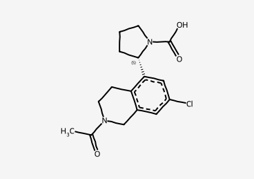 CC(=O)N1CCc2c(cc(Cl)cc2[C@@H]2CCCN2C(=O)O)C1